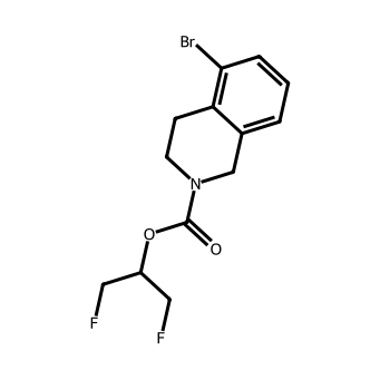 O=C(OC(CF)CF)N1CCc2c(Br)cccc2C1